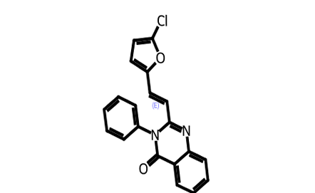 O=c1c2ccccc2nc(/C=C/c2ccc(Cl)o2)n1-c1ccccc1